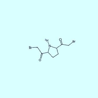 [2H]N1C(C(=O)CBr)CCC1C(=O)CBr